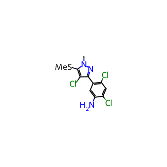 CSc1c(Cl)c(-c2cc(N)c(Cl)cc2Cl)nn1C